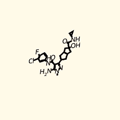 Cn1nc(C2CC3CC(O)(C(=O)NC4CC4)CC3C2)c(C(=O)Nc2ccc(F)c(Cl)c2)c1N